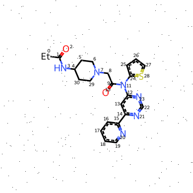 CCC(=O)NC1CCN(CC(=O)N(c2cc(-c3ccccn3)ncn2)c2cccs2)CC1